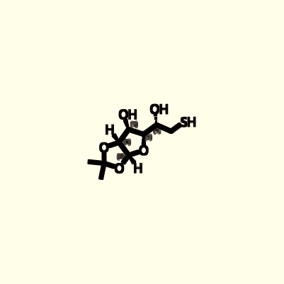 CC1(C)O[C@H]2O[C@H]([C@H](O)CS)[C@H](O)[C@H]2O1